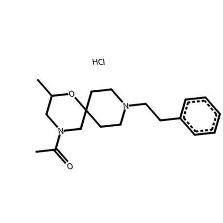 CC(=O)N1CC(C)OC2(CCN(CCc3ccccc3)CC2)C1.Cl